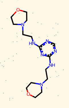 [c]1nc(NCCN2CCOCC2)nc(NCCN2CCOCC2)n1